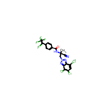 CC(C#N)(Cn1nc2c(Cl)cc(Cl)c(Cl)c2n1)NC(=O)c1ccc(C(F)C(F)(F)F)cc1